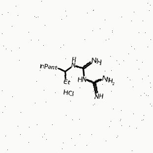 CCCCCC(CC)NC(=N)NC(=N)N.Cl